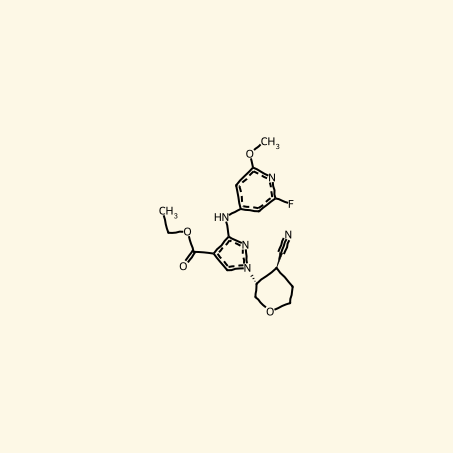 CCOC(=O)c1cn([C@H]2COCC[C@@H]2C#N)nc1Nc1cc(F)nc(OC)c1